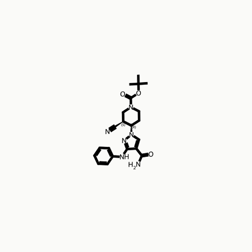 CC(C)(C)OC(=O)N1CC[C@@H](n2cc(C(N)=O)c(Nc3ccccc3)n2)[C@@H](C#N)C1